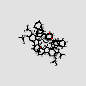 CC(=O)Nc1cc2c(c(C3C=Cc4ccccc43)c1NC(C)=O)[CH]([Sn]([Hf][Sn]([c]1ccccc1)([c]1ccccc1)[CH]1c3ccccc3-c3cc(NC(C)=O)c(NC(C)=O)c(C4C=Cc5ccccc54)c31)([c]1ccccc1)[c]1ccccc1)c1ccccc1-2